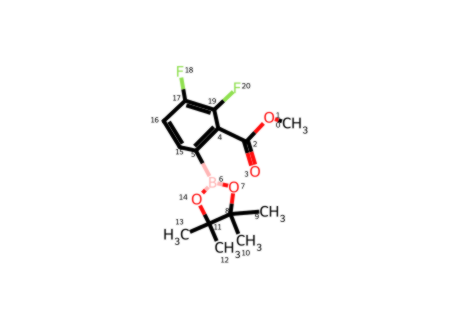 COC(=O)c1c(B2OC(C)(C)C(C)(C)O2)ccc(F)c1F